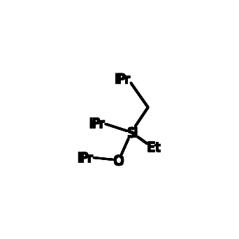 CC[Si](CC(C)C)(OC(C)C)C(C)C